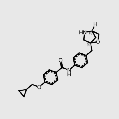 O=C(Nc1ccc(C[C@]23CN[C@H](CO2)C3)cc1)c1ccc(OCC2CC2)cc1